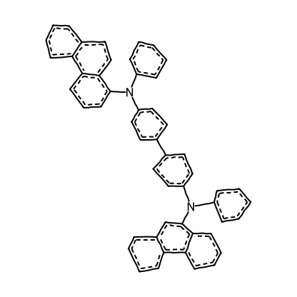 c1ccc(N(c2ccc(-c3ccc(N(c4ccccc4)c4cc5ccccc5c5ccccc45)cc3)cc2)c2cccc3c2ccc2ccccc23)cc1